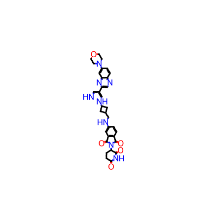 N=C/C(=C\NC1CC(CNc2ccc3c(c2)C(=O)N(C2CCC(=O)NC2=O)C3=O)C1)c1cnc2ccc(N3CCOCC3)cc2n1